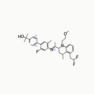 C=C(/C=C\C(=C/C)c1cc(C)c(/N=C(\C)C2CC(C)c3c(CC(F)F)cccc3N2CCOC)cc1F)C(C)(C)O